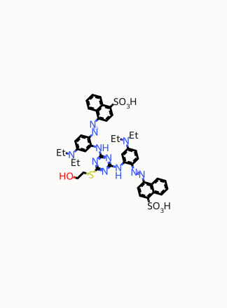 CCN(CC)c1ccc(/N=N/c2ccc(S(=O)(=O)O)c3ccccc23)c(Nc2nc(Nc3cc(N(CC)CC)ccc3/N=N/c3ccc(S(=O)(=O)O)c4ccccc34)nc(SCCO)n2)c1